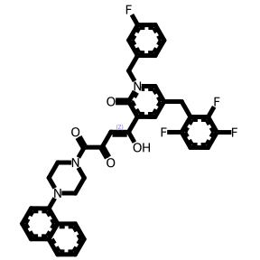 O=C(/C=C(\O)c1cc(Cc2c(F)ccc(F)c2F)cn(Cc2cccc(F)c2)c1=O)C(=O)N1CCN(c2cccc3ccccc23)CC1